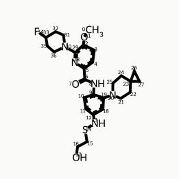 COc1ccc(C(=O)Nc2ccc(NSCCO)cc2N2CCC3(CC2)CC3)nc1N1CCC(F)CC1